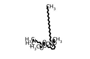 CCCCCCCCCCCCCCCCCCN(C(C)=O)C(=O)N1CCCCC1CCOC(=O)N(CCCN(C)C)C(C)=O